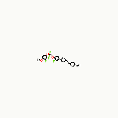 CCCC1CCC(CCC2CCC(c3ccc(OCC(F)(F)Oc4ccc(OCC)c(F)c4F)c(F)c3)CC2)CC1